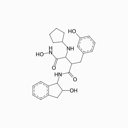 O=C(NC1c2ccccc2CC1O)C(Cc1cccc(O)c1)C(NC1CCCC1)C(=O)NO